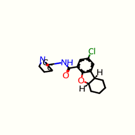 O=C(NC1CN2CCC1CC2)c1cc(Cl)cc2c1O[C@H]1CCCC[C@@H]21